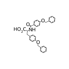 O=C(NC(Cc1ccc(OCc2ccccc2)cc1)C(=O)O)c1ccc(OCc2ccccc2)cc1